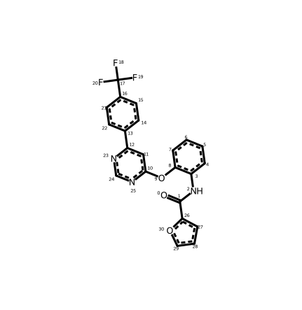 O=C(Nc1ccccc1Oc1cc(-c2ccc(C(F)(F)F)cc2)ncn1)c1ccco1